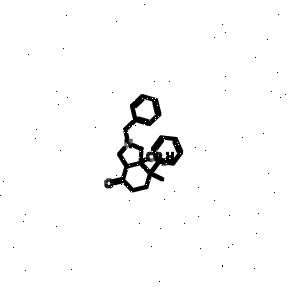 CC1(c2ccccc2)CCC(=O)C2CN(Cc3ccccc3)CC21C(=O)O